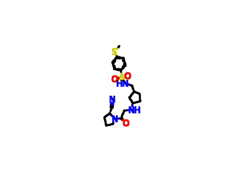 CSc1ccc(S(=O)(=O)NC[C@H]2CC[C@@H](NCC(=O)N3CCC[C@H]3C#N)C2)cc1